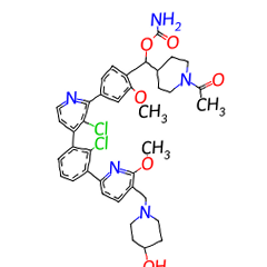 COc1cc(-c2nccc(-c3cccc(-c4ccc(CN5CCC(O)CC5)c(OC)n4)c3Cl)c2Cl)ccc1C(OC(N)=O)C1CCN(C(C)=O)CC1